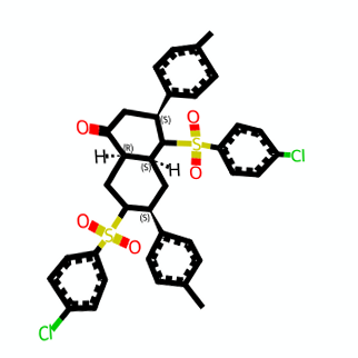 Cc1ccc([C@@H]2C[C@@H]3C(S(=O)(=O)c4ccc(Cl)cc4)[C@H](c4ccc(C)cc4)CC(=O)[C@@H]3CC2S(=O)(=O)c2ccc(Cl)cc2)cc1